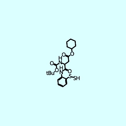 CC(C)(C)OC(=O)NC(CC(=O)OC1CCCCC1)C(=O)Nc1ccccc1SS